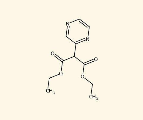 CCOC(=O)C(C(=O)OCC)c1cnccn1